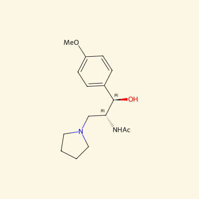 COc1ccc([C@@H](O)[C@@H](CN2CCCC2)NC(C)=O)cc1